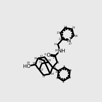 O=C(CC1(c2ccccc2)C2CC3CC1CC(C2)C3O)NCc1ccccn1